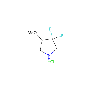 COC1CNCC1(F)F.Cl